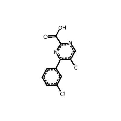 O=C(O)c1ncc(Cl)c(-c2cccc(Cl)c2)n1